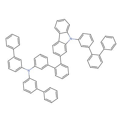 c1ccc(-c2cccc(N(c3cccc(-c4ccccc4)c3)c3cccc(-c4ccccc4-c4ccc5c6ccccc6n(-c6cccc(-c7ccccc7-c7ccccc7)c6)c5c4)c3)c2)cc1